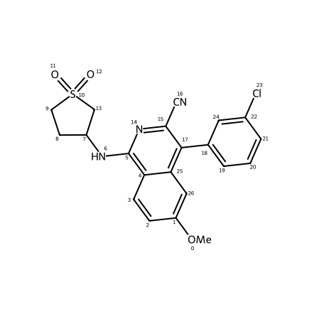 COc1ccc2c(NC3CCS(=O)(=O)C3)nc(C#N)c(-c3cccc(Cl)c3)c2c1